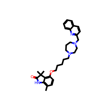 Cc1ccc(OCCCCCN2CCCN(Cc3ccc4ccccc4n3)CC2)c2c1NC(=O)C2(C)C